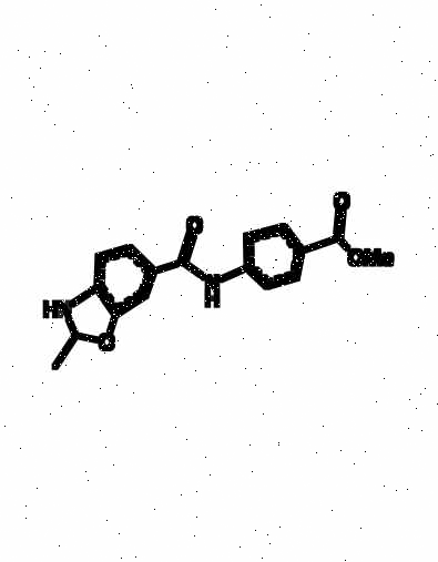 COC(=O)c1ccc(NC(=O)c2ccc3c(c2)OC(C)N3)cc1